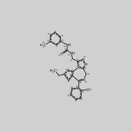 CCc1cc2c(s1)-n1c(nnc1CNC(=O)Nc1cccc(C)c1)CN=C2c1ccccc1Cl